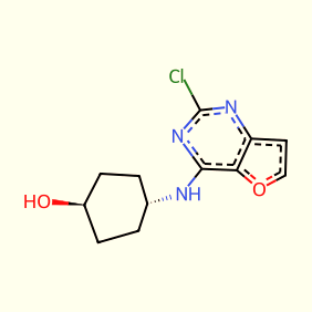 O[C@H]1CC[C@H](Nc2nc(Cl)nc3ccoc23)CC1